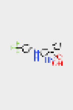 O=C(NO)C(c1ccccc1)c1ccc(NCc2ccc(C(F)(F)F)cc2)cc1